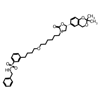 CC1(C)OCc2cc([C@@H]3CN(CCCCCCOCCCCc4cccc(S(=O)(=O)NCc5ccccc5)c4)C(=O)O3)ccc2O1